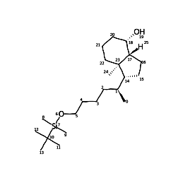 C[C@@H](CCCCO[Si](C)(C)C(C)(C)C)[C@H]1CC[C@H]2[C@@H](O)CCC[C@]12C